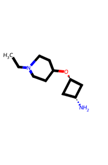 CCN1CCC(O[C@H]2C[C@@H](N)C2)CC1